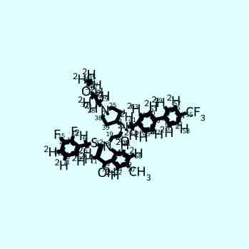 [2H]C1=C(SC([2H])([2H])c2c([2H])c([2H])c([2H])c(F)c2F)N(CC(=O)N(C2CCN(C([2H])([2H])C([2H])([2H])OC([2H])([2H])[2H])CC2)C([2H])([2H])c2c([2H])c([2H])c(-c3c([2H])c([2H])c(C(F)(F)F)c([2H])c3[2H])c([2H])c2[2H])c2c([2H])c([2H])c(C)c([2H])c2C1O